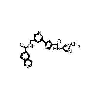 Cn1cc(NC(=O)c2csc(-c3cncc(CNC(=O)c4ccc5cnccc5c4)c3)c2)cn1